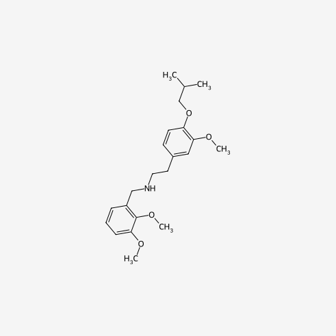 COc1cc(CCNCc2cccc(OC)c2OC)ccc1OCC(C)C